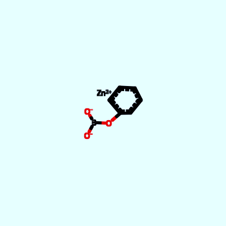 [O-]B([O-])Oc1ccccc1.[Zn+2]